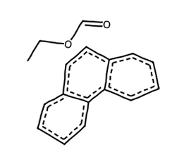 CCOC=O.c1ccc2c(c1)ccc1ccccc12